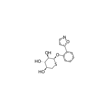 O[C@@H]1[C@@H](O)[C@@H](Oc2ccccc2-c2ccno2)SC[C@H]1O